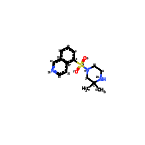 CC1(C)CN(S(=O)(=O)c2cccc3cnccc23)CCN1